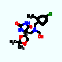 Cc1cc(Cl)ccc1CN(CO)C[C@@]1([C@H]2COC(C)(C)O2)NC(=O)NC1=O